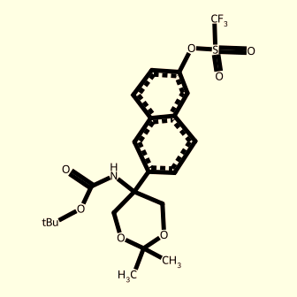 CC(C)(C)OC(=O)NC1(c2ccc3cc(OS(=O)(=O)C(F)(F)F)ccc3c2)COC(C)(C)OC1